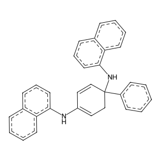 C1=CC(Nc2cccc3ccccc23)(c2ccccc2)CC=C1Nc1cccc2ccccc12